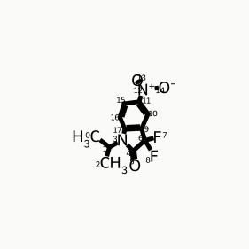 CC(C)N1C(=O)C(F)(F)c2cc([N+](=O)[O-])ccc21